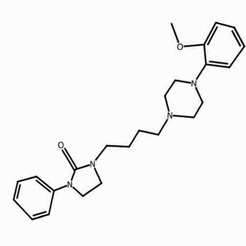 COc1ccccc1N1CCN(CCCCN2CCN(c3ccccc3)C2=O)CC1